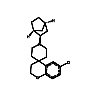 Clc1ccc2c(c1)C1(CCO2)CCN([C@@H]2C[C@@H]3CC[C@@H]2C3)CC1